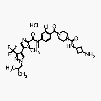 CC(C)Cn1cc(-c2cnc(C(=O)Nc3ccc(C(=O)N4CCN(C(=O)NC5CC(N)C5)CC4)c(Cl)c3)n2C)c(C(F)(F)F)n1.Cl